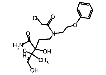 CC(C)(CO)C(O)(CCN(CCOc1ccccc1)C(=O)CCl)C(N)=O